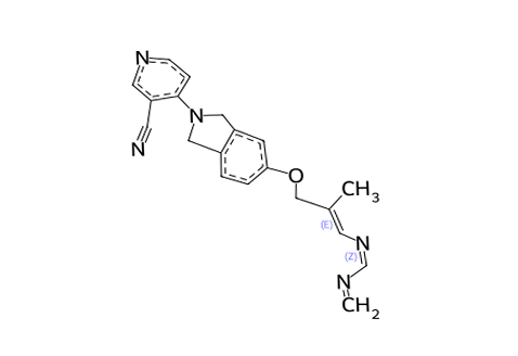 C=N/C=N\C=C(/C)COc1ccc2c(c1)CN(c1ccncc1C#N)C2